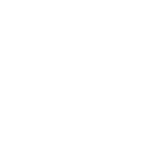 CCC(OCC1CO1)[Si](C)(C)C